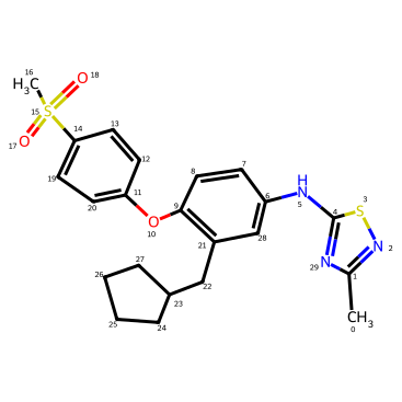 Cc1nsc(Nc2ccc(Oc3ccc(S(C)(=O)=O)cc3)c(CC3CCCC3)c2)n1